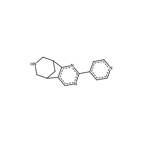 c1cc(-c2ncc3c(n2)C2CNCC3C2)ccn1